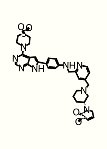 O=S1(=O)CCN(c2ncnc3[nH]c(-c4ccc(NCc5cc(CN6CCC[C@@H](N7CC=CS7(=O)=O)C6)ccn5)cc4)cc23)CC1